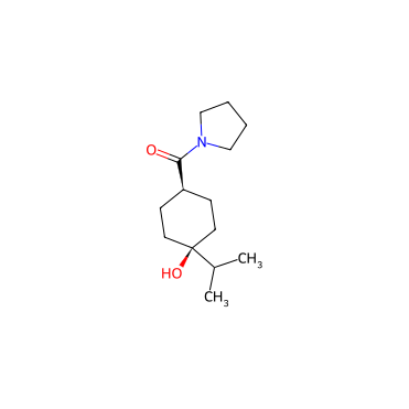 CC(C)[C@]1(O)CC[C@@H](C(=O)N2CCCC2)CC1